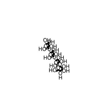 OCC1O[C@@H](O[C@]2(CO)O[C@H](CO[C@]3(CO)O[C@H](CO[C@]4(CO)O[C@H](CO)C(O)[C@H]4O)C(O)[C@H]3O)C(O)[C@H]2O)C(O)[C@@H](O)[C@@H]1O